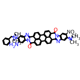 CN(C)c1cc2nc3c4ccc5c6ccc7c(=O)n8c9cc(N)c([N+](C)(C)Cc%10ccccc%10)cc9nc8c8ccc(c9ccc(c(=O)n3c2cc1[N+](=O)[O-])c4c95)c6c78